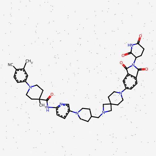 Cc1cc(N2CCC(C)(C(=O)Nc3ccc(N4CCC(CN5CC6(CCN(c7ccc8c(c7)C(=O)N(C7CCC(=O)NC7=O)C8=O)CC6)C5)CC4)cn3)CC2)ccc1C#N